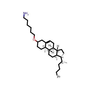 CC(C)CCC[C@@H](C)[C@H]1CC[C@H]2[C@@H]3CC=C4CC(OCCCCCCN)CC[C@]4(C)[C@H]3CC[C@]12C